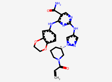 C=CC(=O)N1CCC[C@H](n2cc(Nc3ncc(C(N)=O)c(Nc4ccc5c(c4)OCCO5)n3)cn2)C1